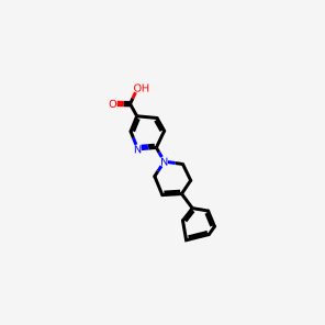 O=C(O)c1ccc(N2CC=C(c3ccccc3)CC2)nc1